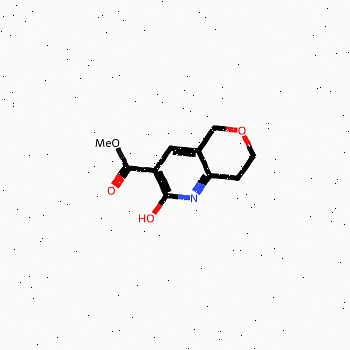 COC(=O)c1cc2c(nc1O)CCOC2